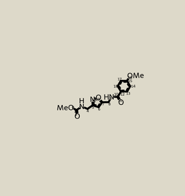 COC(=O)NCc1cc(CNC(=O)c2ccc(OC)cc2)on1